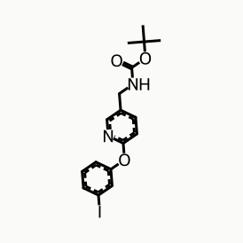 CC(C)(C)OC(=O)NCc1ccc(Oc2cccc(I)c2)nc1